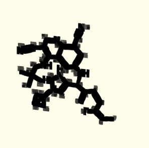 C=C(/C=C\C(F)=C/C)[C@H](Nc1cc(C#N)c2ncc(C#N)c(NCC(C)(C)C)c2c1)C1=CN(C23CC(C2)C3)NN1